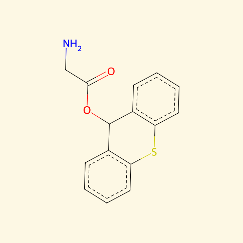 NCC(=O)OC1c2ccccc2Sc2ccccc21